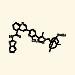 Cc1c(-c2ccc(-c3cnc4cccc(C(=O)Nc5nc6ccccc6s5)c4c3)nc2C(=O)O)cnn1CC12CC3(C)CC(C)(C1)CC(OC(C)(C)C)(C3)C2